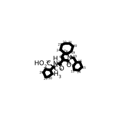 C[C@](NC(=O)c1cc2c(n(CC3CCCCC3)c1=O)CCCCCC2)(C(=O)O)C1CCCCC1